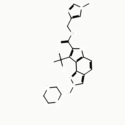 Cn1cnc(CNC(=O)c2oc3ccc4cn(C[C@H]5COCCO5)nc4c3c2C(F)(F)F)c1